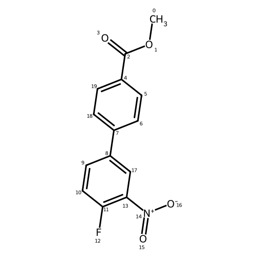 COC(=O)c1ccc(-c2ccc(F)c([N+](=O)[O-])c2)cc1